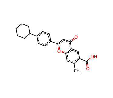 Cc1cc2oc(-c3ccc(C4CCCCC4)cc3)cc(=O)c2cc1C(=O)O